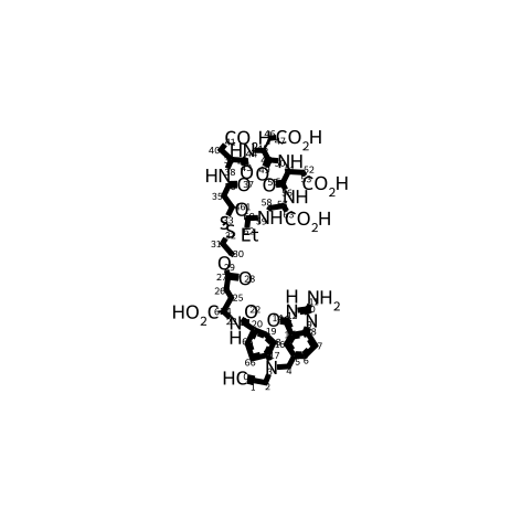 C#CCN(Cc1ccc2nc(N)[nH]c(=O)c2c1)c1ccc(C(=O)N[C@@H](CCC(=O)OCCSSCCC(=O)NC(CC(=O)O)C(=O)N[C@@H](CC(=O)O)C(=O)NC(CC(=O)O)C(=O)NC(CNC(=O)CC)C(=O)O)C(=O)O)cc1